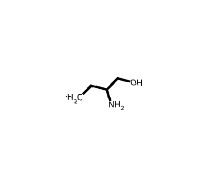 [CH2]CC(N)CO